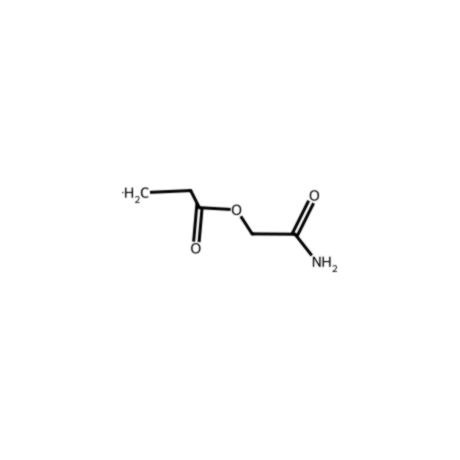 [CH2]CC(=O)OCC(N)=O